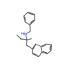 CCC(C)(Cc1ccc2ccccc2c1)NCc1ccccc1